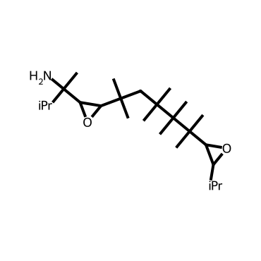 CC(C)C1OC1C(C)(C)C(C)(C)C(C)(C)CC(C)(C)C1OC1C(C)(N)C(C)C